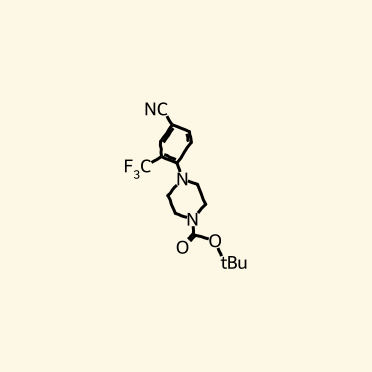 CC(C)(C)OC(=O)N1CCN(c2ccc(C#N)cc2C(F)(F)F)CC1